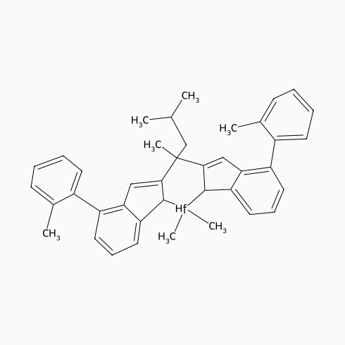 Cc1ccccc1-c1cccc2c1C=C1[CH]2[Hf]([CH3])([CH3])[CH]2C(=Cc3c(-c4ccccc4C)cccc32)C1(C)CC(C)C